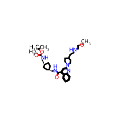 COCCNCCC1CCN(c2cc(C(=O)NC[C@H]3CC[C@H](CNC(=O)OC(C)(C)C)CC3)c3ccccc3n2)CC1